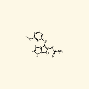 COc1cccc(Sc2c(OC(N)=O)[nH]c3scnc23)c1